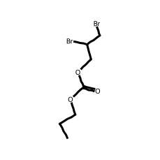 CCCOC(=O)OCC(Br)CBr